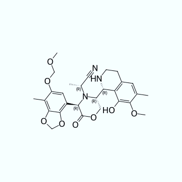 COCOc1cc([C@@H]2C(=O)OC[C@@H]([C@@H]3NCCc4cc(C)c(OC)c(O)c43)N2[C@H](C)C#N)c2c(c1C)OCO2